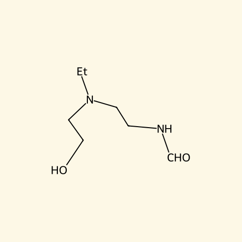 CCN(CCO)CCNC=O